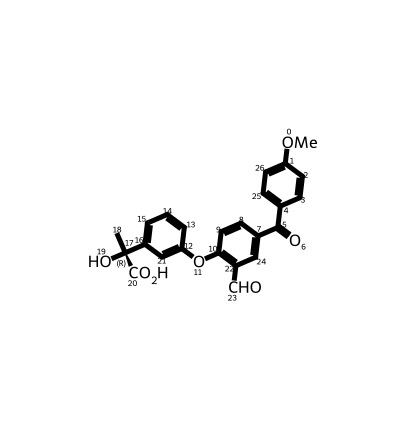 COc1ccc(C(=O)c2ccc(Oc3cccc([C@@](C)(O)C(=O)O)c3)c(C=O)c2)cc1